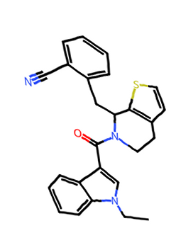 CCn1cc(C(=O)N2CCc3ccsc3C2Cc2ccccc2C#N)c2ccccc21